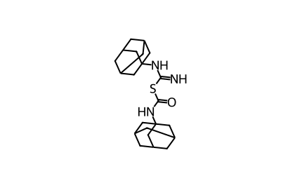 N=C(NC12CC3CC(CC(C3)C1)C2)SC(=O)NC12CC3CC(CC(C3)C1)C2